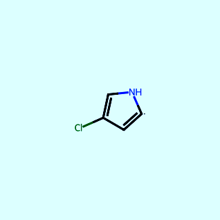 Clc1c[c][nH]c1